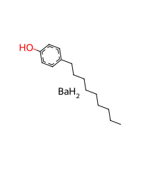 CCCCCCCCCc1ccc(O)cc1.[BaH2]